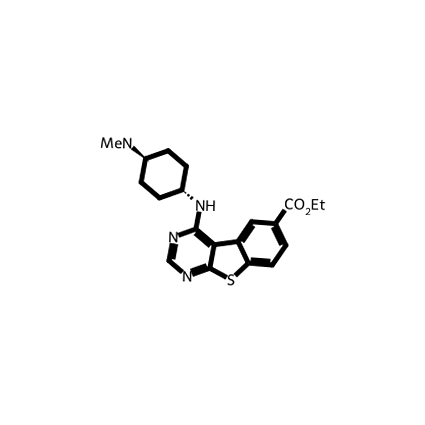 CCOC(=O)c1ccc2sc3ncnc(N[C@H]4CC[C@H](NC)CC4)c3c2c1